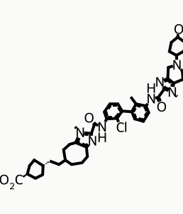 Cc1c(NC(=O)c2nc3c(n2C)CCN(C2CCC(O)CC2)C3)cccc1-c1cccc(NC(=O)c2nc3c(n2C)CCC(CC[C@H]2CC[C@H](C(=O)O)CC2)CCC3)c1Cl